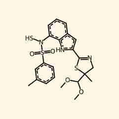 COC(OC)C1(C)CN=C(c2cc3cccc(N(S)S(=O)(=O)c4cccc(C)c4)c3[nH]2)S1